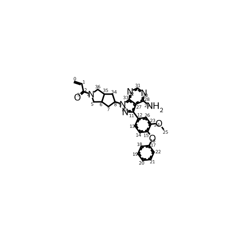 C=CC(=O)N1CC2CC(n3nc(-c4ccc(Oc5ccccc5)c(OC)c4)c4c(N)ncnc43)CC2C1